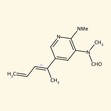 C=C/C=C(\C)c1cnc(NC)c(N(C)C=O)c1